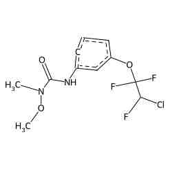 CON(C)C(=O)Nc1cccc(OC(F)(F)C(F)Cl)c1